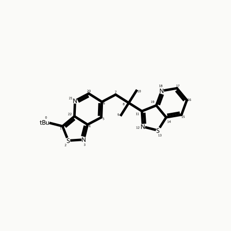 CC(C)(C)c1snc2cc(CC(C)(C)c3nsc4cccnc34)cnc12